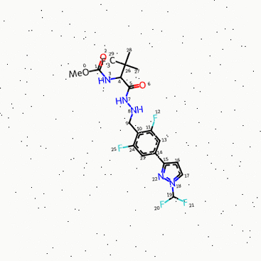 COC(=O)NC(C(=O)NNCc1c(F)cc(-c2ccn(C(F)F)n2)cc1F)C(C)(C)C(F)(F)F